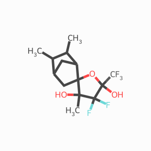 CC1C2CC(C1C)C1(C2)OC(O)(C(F)(F)F)C(F)(F)C1(C)O